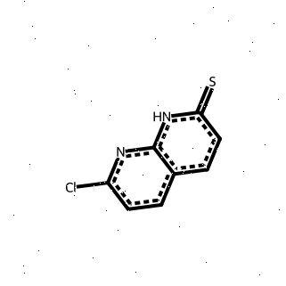 S=c1ccc2ccc(Cl)nc2[nH]1